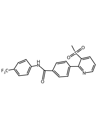 CS(=O)(=O)c1cccnc1-c1ccc(C(=O)Nc2ccc(C(F)(F)F)cc2)cc1